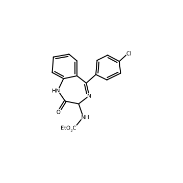 CCOC(=O)NC1N=C(c2ccc(Cl)cc2)c2ccccc2NC1=O